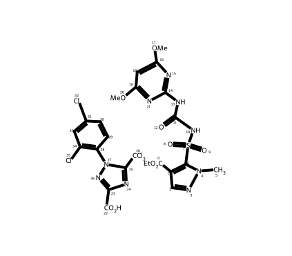 CCOC(=O)c1cnn(C)c1S(=O)(=O)NC(=O)Nc1nc(OC)cc(OC)n1.O=C(O)c1nc(C(Cl)(Cl)Cl)n(-c2ccc(Cl)cc2Cl)n1